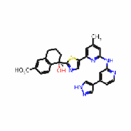 Cc1cc(Nc2cc(-c3cn[nH]c3)ccn2)nc(-c2cnc([C@@]3(O)CCCc4cc(C(=O)O)ccc43)s2)c1